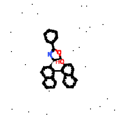 Oc1ccc2ccccc2c1-c1c([C@H]2COC(c3ccccc3)=N2)ccc2ccccc12